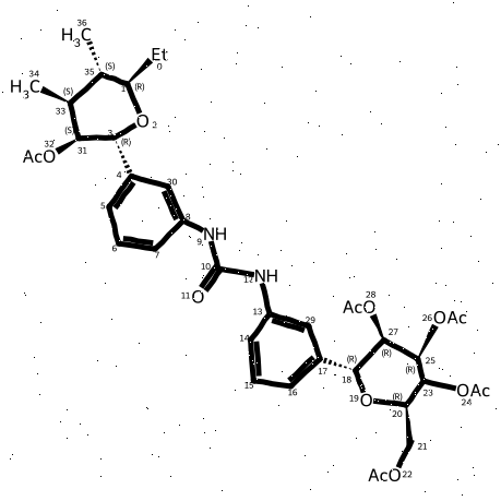 CC[C@H]1O[C@H](c2cccc(NC(=O)Nc3cccc([C@H]4O[C@H](COC(C)=O)C(OC(C)=O)[C@H](OC(C)=O)[C@@H]4OC(C)=O)c3)c2)[C@@H](OC(C)=O)[C@@H](C)[C@@H]1C